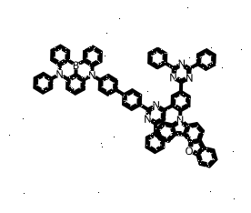 c1ccc(-c2cc(-c3cc(-c4nc(-c5ccccc5)nc(-c5ccccc5)n4)ccc3-n3c4ccccc4c4c5oc6ccccc6c5ccc43)nc(-c3ccc(-c4ccc(N5c6ccccc6B6c7ccccc7N(c7ccccc7)c7cccc5c76)cc4)cc3)n2)cc1